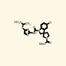 COC(=O)N1CCC2(C1)CN(C(=O)Nc1ncc(SC(C)C(=O)O)s1)c1ccc(Cl)cc12